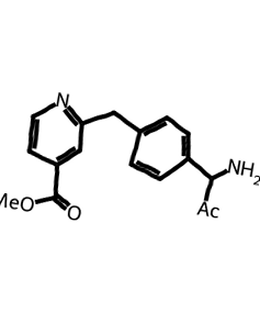 COC(=O)c1ccnc(Cc2ccc(C(N)C(C)=O)cc2)c1